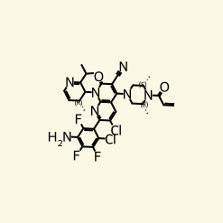 C=CC(=O)N1[C@H](C)CN(c2c(C#N)c(=O)n(C3C(C(C)C)=NC=C[C@H]3C)c3nc(-c4c(F)c(N)c(F)c(F)c4Cl)c(Cl)cc23)C[C@@H]1C